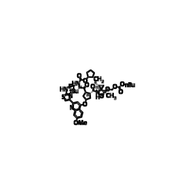 C=C[C@@H]1C[C@]1(NC(=O)[C@@H]1CC(Oc2cc(-c3csc(NC(C)C)n3)nc3cc(OC)ccc23)CC1C(=O)[C@@H](NC(=O)OC1CCCC1)C(C)(C)C)P(C)(=O)OCOC(=O)OCCCC